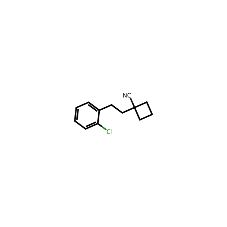 N#CC1(CCc2ccccc2Cl)CCC1